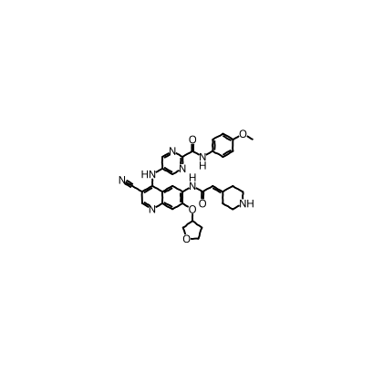 COc1ccc(NC(=O)c2ncc(Nc3c(C#N)cnc4cc(OC5CCOC5)c(NC(=O)C=C5CCNCC5)cc34)cn2)cc1